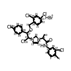 Br.Cc1ccc(NC(=O)C(C)N2C=CN(C(Cl)C(OCc3ccc(Cl)cc3Cl)c3ccc(Cl)cc3)C2)cc1Cl